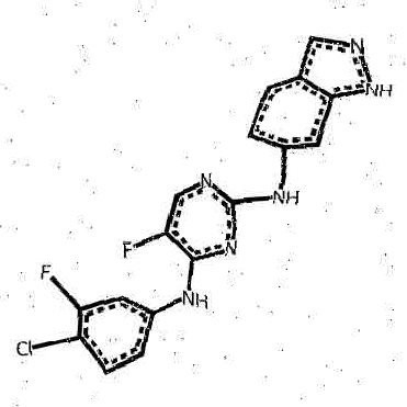 Fc1cc(Nc2nc(Nc3ccc4cn[nH]c4c3)ncc2F)ccc1Cl